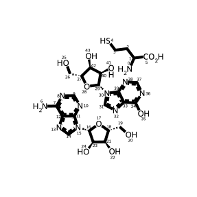 NC(CCS)C(=O)O.Nc1ncnc2c1ncn2[C@@H]1O[C@H](CO)[C@@H](O)[C@H]1O.OC[C@H]1O[C@@H](n2cnc3c(O)ncnc32)[C@H](O)[C@@H]1O